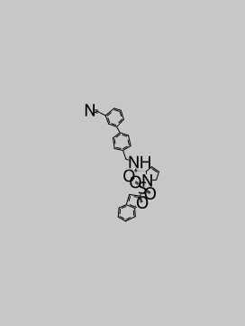 N#Cc1cccc(-c2ccc(CNC(=O)[C@@H]3C=CCN3S(=O)(=O)c3cc4ccccc4o3)cc2)c1